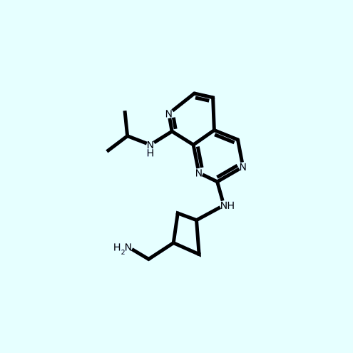 CC(C)Nc1nccc2cnc(NC3CC(CN)C3)nc12